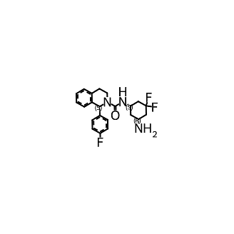 N[C@@H]1C[C@H](NC(=O)N2CCc3ccccc3[C@@H]2c2ccc(F)cc2)CC(F)(F)C1